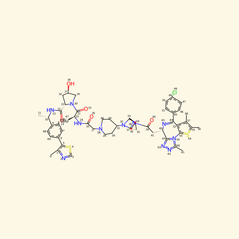 Cc1ncsc1-c1ccc([C@H](C)NC(=O)[C@@H]2C[C@@H](O)CN2C(=O)[C@@H](NC(=O)CN2CCC(N3C[C@@]45C[C@@]34CN5C(=O)C[C@@H]3N=C(c4ccc(Cl)cc4)c4c(sc(C)c4C)-n4c(C)nnc43)CC2)C(C)(C)C)cc1